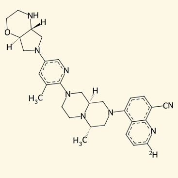 [2H]c1ccc2c(N3C[C@@H]4CN(c5ncc(N6C[C@H]7NCCO[C@@H]7C6)cc5C)CCN4[C@@H](C)C3)ccc(C#N)c2n1